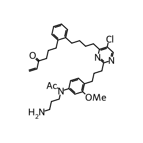 C=CC(=O)CCCc1ccccc1CCCCc1nc(CCCc2ccc(N(CCCN)C(C)=O)cc2OC)ncc1Cl